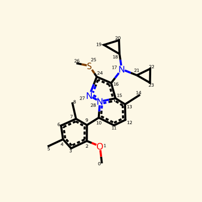 COc1cc(C)cc(C)c1-c1ccc(C)c2c(N(C3CC3)C3CC3)c(SC)nn12